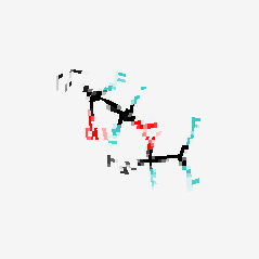 OC(F)(C(F)(F)F)C(F)(F)OC(F)(C(F)F)C(F)(F)F